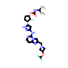 CC(C)NC(=O)O[C@H]1CC[C@@H](c2cc(Nc3nccc4nc(CN5CC(OC(F)F)C5)cn34)n[nH]2)[C@H]1F